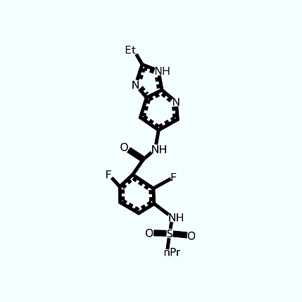 CCCS(=O)(=O)Nc1ccc(F)c(C(=O)Nc2cnc3[nH]c(CC)nc3c2)c1F